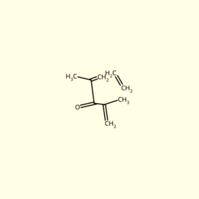 C=C.C=C(C)C(=O)C(=C)C